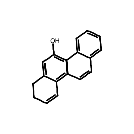 Oc1cc2c(c3ccc4ccccc4c13)C=CCC2